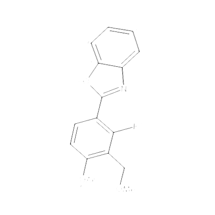 COCc1c(OC(C)=O)ccc(-c2nc3ccccc3o2)c1F